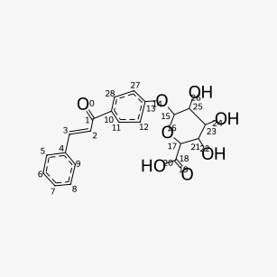 O=C(/C=C/c1ccccc1)c1ccc(OC2OC(C(=O)O)C(O)C(O)C2O)cc1